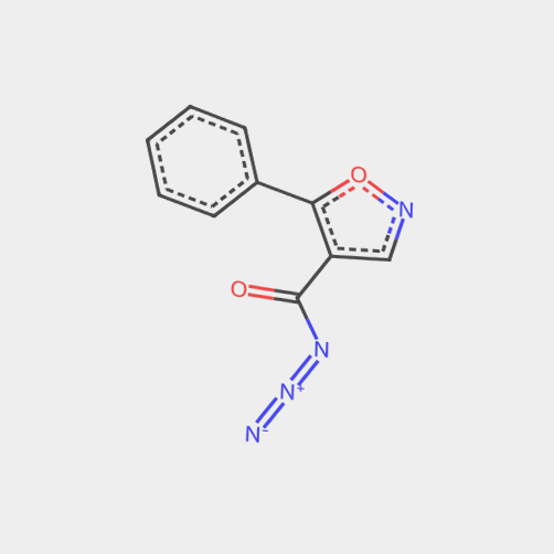 [N-]=[N+]=NC(=O)c1cnoc1-c1ccccc1